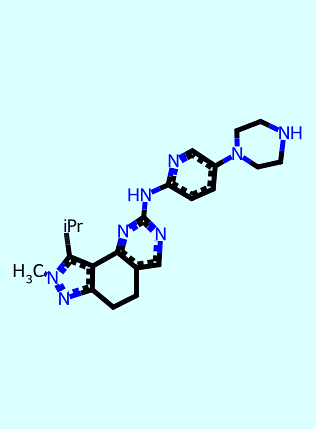 CC(C)c1c2c(nn1C)CCc1cnc(Nc3ccc(N4CCNCC4)cn3)nc1-2